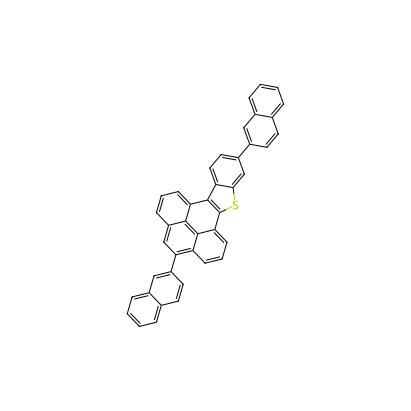 c1ccc2cc(-c3ccc4c(c3)sc3c5cccc6c(-c7ccc8ccccc8c7)cc7cccc(c43)c7c65)ccc2c1